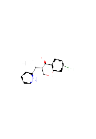 CC(c1ccccn1)C1COc2cc(Br)ccc2C1=O